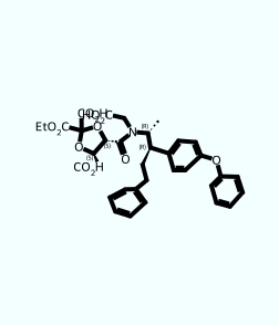 CCOC(=O)C1(C(=O)O)O[C@H](C(=O)O)[C@@H](C(=O)N(CC(=O)O)[C@H](C)[C@H](CCc2ccccc2)c2ccc(Oc3ccccc3)cc2)O1